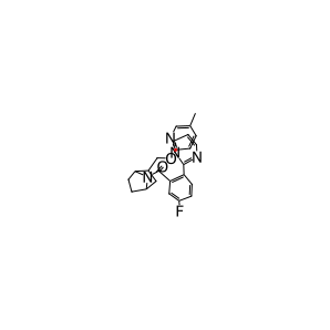 Cc1ccc(OCC2CC3CCC2N3C(=O)c2cc(F)ccc2-c2ncccn2)nc1